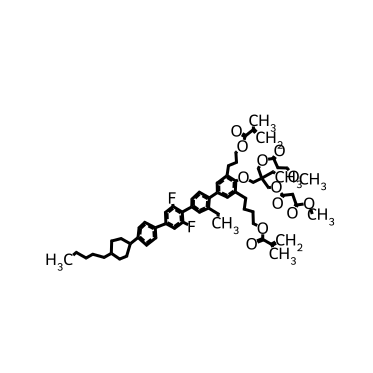 C=C(C)C(=O)OCCCCc1cc(-c2ccc(-c3c(F)cc(-c4ccc(C5CCC(CCCCC)CC5)cc4)cc3F)cc2CC)cc(CCCOC(=O)C(=C)C)c1OCC(CC)(COC(=O)CCOC)COC(=O)CC(=O)OC